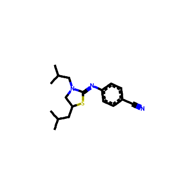 CC(C)CC1CN(CC(C)C)/C(=N/c2ccc(C#N)cc2)S1